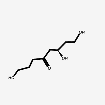 O=C(CCCO)C[C@H](O)CCO